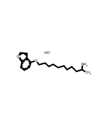 CC(N)CCCCCCCCCOc1cccc2occc12.Cl